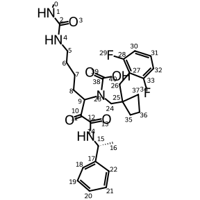 CNC(=O)NCCCCC(C(=O)C(=O)N[C@H](C)c1ccccc1)N(CC1(Cc2c(F)cccc2F)CCC1)C(=O)O